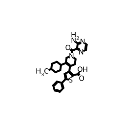 CC1CCC(C2=C(c3cc(-c4ccccc4)sc3C(=O)O)CCN(C(=O)c3nccnc3N)C2)CC1